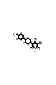 Cc1[nH]c(C)c(C2CCC(c3ccc(Cl)cc3)CC2)c(=O)c1Br